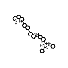 C1=Cc2ccc3ccc(-c4ccc5cc(C6=CC7NC(c8ccc9ccc(C%10NC(c%11ccccc%11)=NC(c%11ccccc%11)N%10)nc9c8)=CC=C7C=C6)ccc5c4)nc3c2NC1